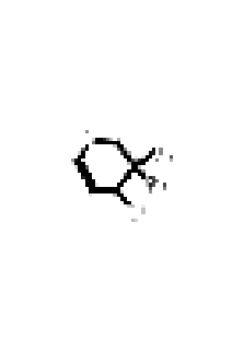 CC1C=COCC1(C)C